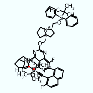 COc1nc(-c2cccc3ccc(F)c(C#C[Si](C(C)C)(C(C)C)C(C)C)c23)c(F)c2nc(OC[C@]34CCCN3[C@@H](CO[Si](c3ccccc3)(c3ccccc3)C(C)(C)C)CC4)nc(N3CC4CCC(C4)C3)c12